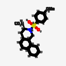 COc1ccc(S(=O)(=O)N2Cc3c(ccc4ccccc34)C[C@@H]2C(=O)O)cc1